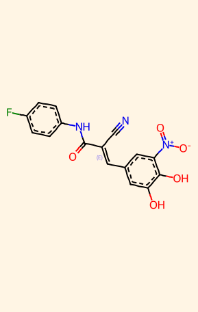 N#C/C(=C\c1cc(O)c(O)c([N+](=O)[O-])c1)C(=O)Nc1ccc(F)cc1